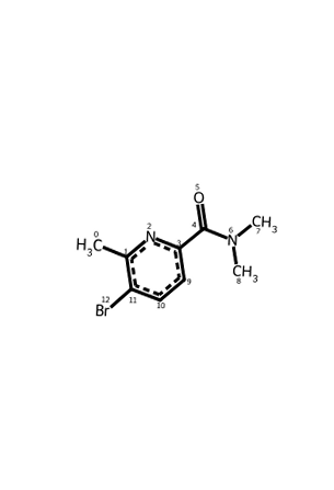 Cc1nc(C(=O)N(C)C)ccc1Br